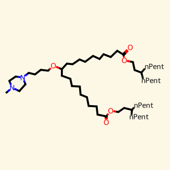 CCCCCC(CCCCC)CCOC(=O)CCCCCCCCCC(CCCCCCCCCC(=O)OCCC(CCCCC)CCCCC)OCCCCN1CCN(C)CC1